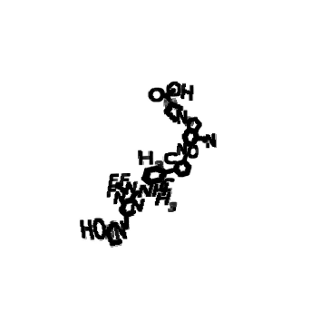 Cc1c(Nc2nc(C(F)(F)F)nc3cc(CN4CC[C@@H](O)C4)cnc23)cccc1-c1cccc(-c2nc3cc4c(c(C#N)c3o2)CC[C@H]4N2CC[C@@H](C(=O)O)C2)c1C